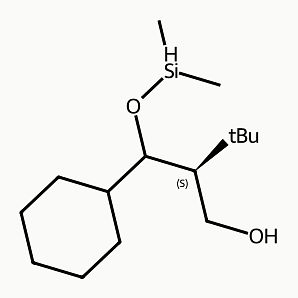 C[SiH](C)OC(C1CCCCC1)[C@H](CO)C(C)(C)C